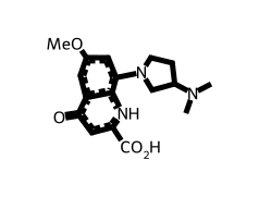 COc1cc(N2CCC(N(C)C)C2)c2[nH]c(C(=O)O)cc(=O)c2c1